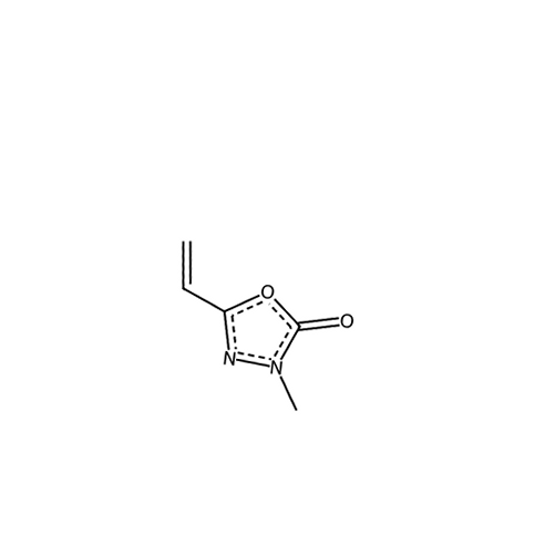 C=Cc1nn(C)c(=O)o1